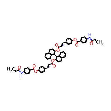 C=CC(=O)Nc1ccc(C(=O)Oc2ccc(/C=C/C(=O)Oc3ccc4ccccc4c3-c3c(OC(=O)/C=C/c4ccc(OC(=O)c5ccc(NC(=O)C=C)cc5)cc4)ccc4ccccc34)cc2)cc1